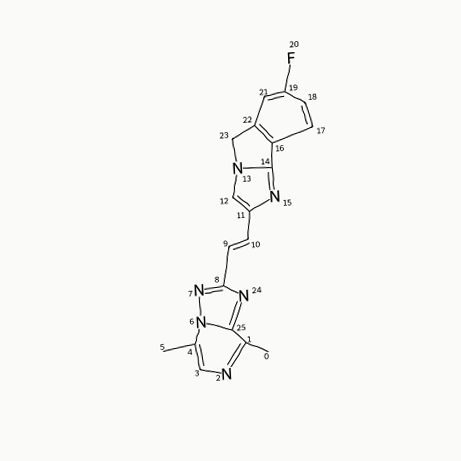 Cc1ncc(C)n2nc(C=Cc3cn4c(n3)-c3ccc(F)cc3C4)nc12